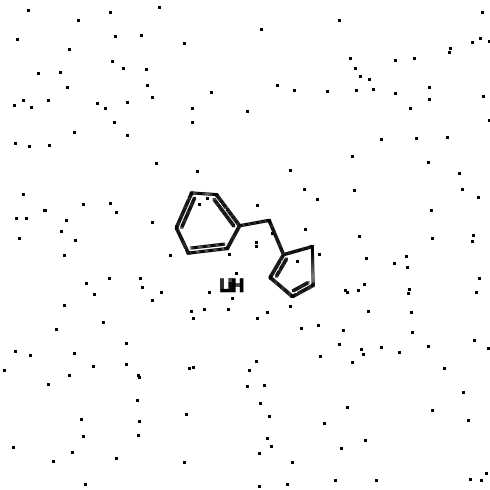 C1=CCC(Cc2ccccc2)=C1.[LiH]